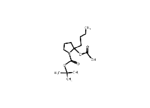 CCCCC1(OC(=O)O)CCCN1C(=O)OC(C)(C)C